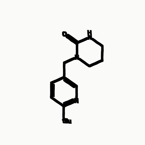 CC(C)(C)c1ccc(CN2CCCNC2=O)cn1